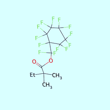 CCC(C)(C)C(=O)OC(F)(F)C1(F)C(F)(F)C(F)(F)C(F)(F)C(F)(F)C1(F)F